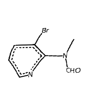 CN(C=O)c1ncccc1Br